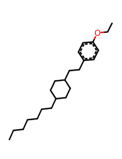 CCCCCCCC1CCC(CCc2ccc(OCC)cc2)CC1